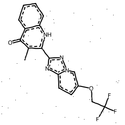 Cc1c(-c2nc3ccc(OCC(F)(F)F)cn3n2)[nH]c2ccccc2c1=O